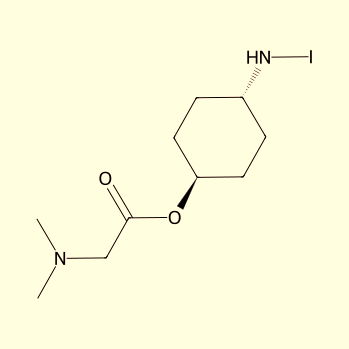 CN(C)CC(=O)O[C@H]1CC[C@H](NI)CC1